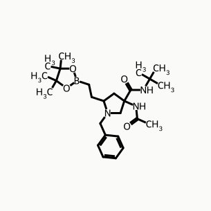 CC(=O)NC1(C(=O)NC(C)(C)C)CC(CCB2OC(C)(C)C(C)(C)O2)N(Cc2ccccc2)C1